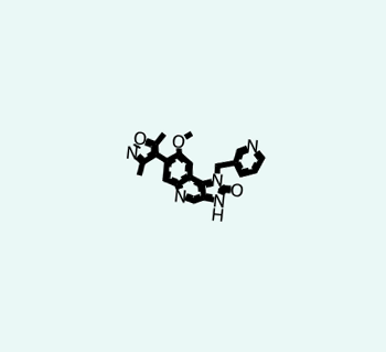 COc1cc2c(cc1-c1c(C)noc1C)ncc1[nH]c(=O)n(Cc3cccnc3)c12